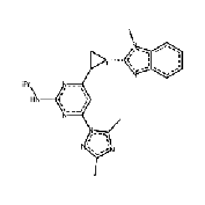 Cc1nc(C)n(-c2cc(C3C[C@@H]3c3nc4ccccc4n3C)nc(NC(C)C)n2)n1